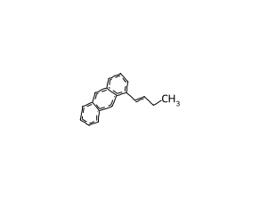 CCC=Cc1cccc2cc3ccccc3cc12